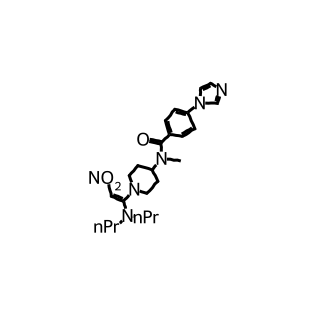 CCCN(CCC)/C(=C/[N+](=O)[O-])N1CCC(N(C)C(=O)c2ccc(-n3ccnc3)cc2)CC1